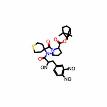 CC1(C)C2CCC1(C)C(OC(=O)C1CCCN1C(=O)C1(NC(=O)C(Cc3ccc(N=O)c(N=O)c3)N=O)CCSCC1)C2